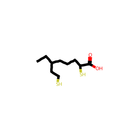 CCC(CCS)CCCC(S)C(=O)O